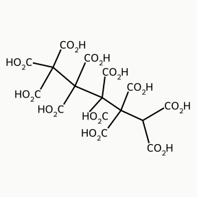 O=C(O)C(C(=O)O)C(C(=O)O)(C(=O)O)C(C(=O)O)(C(=O)O)C(C(=O)O)(C(=O)O)C(C(=O)O)(C(=O)O)C(=O)O